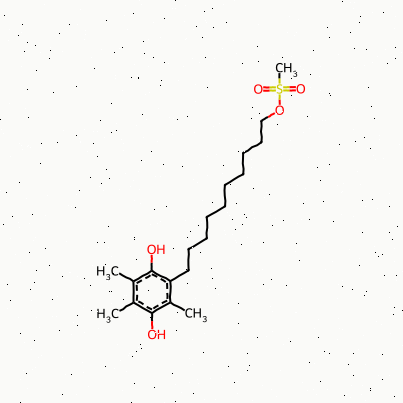 Cc1c(C)c(O)c(CCCCCCCCCCOS(C)(=O)=O)c(C)c1O